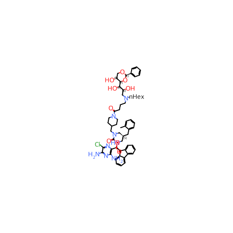 CCCCCCN(CCCC(=O)N1CCC(CN(C[C@H](CNC(=O)c2nc(Cl)c(N)nc2N)Cc2ccccc2C)C(=O)OCC2c3ccccc3-c3ccccc32)CC1)C[C@H](O)[C@@H](O)[C@@H]1O[C@H](c2ccccc2)OC[C@H]1O